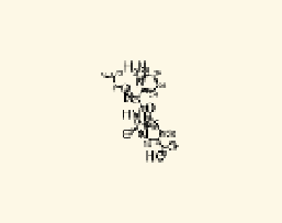 CC(C)CON=C(C(=O)NC1C(=O)N2C=C(C(=O)O)C(C)S[C@H]12)c1cccc(N)n1